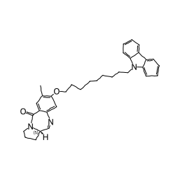 Cc1cc2c(cc1OCCCCCCCCCn1c3ccccc3c3ccccc31)N=C[C@@H]1CCCN1C2=O